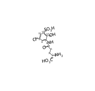 N[C@@H](CCC(=O)Nc1cc(Cl)cc(S(=O)(=O)O)c1O)C(=O)O